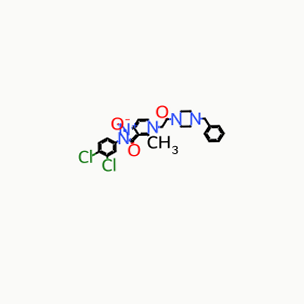 Cc1c2c(=O)n(-c3ccc(Cl)c(Cl)c3)[n+]([O-])c-2ccn1CC(=O)N1CCN(Cc2ccccc2)CC1